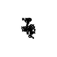 CCC[C@H]1CN[C@H](C(=O)N[C@@H]([C@H]2O[C@H](SCCOC(=O)c3ccccc3N)[C@H](O)[C@@H](O)[C@H]2O)[C@@H](C)OC)C1